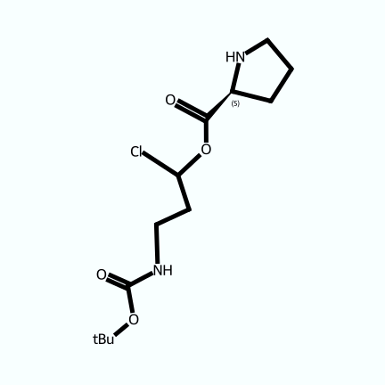 CC(C)(C)OC(=O)NCCC(Cl)OC(=O)[C@@H]1CCCN1